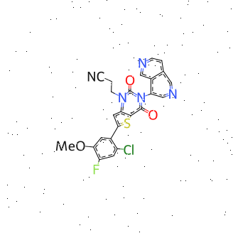 COc1cc(-c2cc3c(s2)c(=O)n(-c2cncc4ccncc24)c(=O)n3CCC#N)c(Cl)cc1F